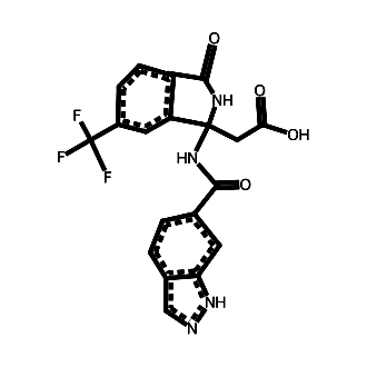 CC(=O)NC(CC(=O)O)(NC(=O)c1ccc2cn[nH]c2c1)c1cccc(C(F)(F)F)c1